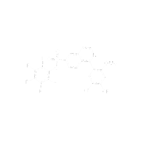 COc1cc(C(F)(F)F)c(Cl)cc1-c1nccc2cc(S(=O)(=O)Oc3c(F)c(F)c(F)c(F)c3F)ccc12